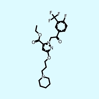 CCOC(=O)c1cc(OCCCN2CCCCC2)nn1CC(=O)c1ccc(F)c(C(F)(F)F)c1